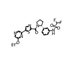 CCOc1cncc(-c2cnc(C(=O)N3CCC[C@@H]3c3cccc(NS(=O)(=O)C(F)F)c3)s2)n1